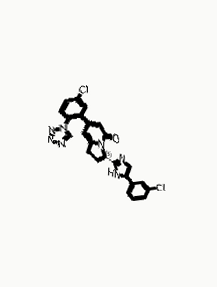 O=c1cc(-c2cc(Cl)ccc2-n2cnnn2)cc2n1[C@H](c1ncc(-c3cccc(Cl)c3)[nH]1)CC2